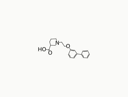 O=C(O)C1CCCN(CCOc2cccc(-c3ccccc3)c2)C1